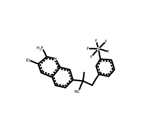 CCc1cc2ccc(C(C)(C#N)Cc3cccc(S(F)(F)(F)(F)F)c3)cc2nc1P